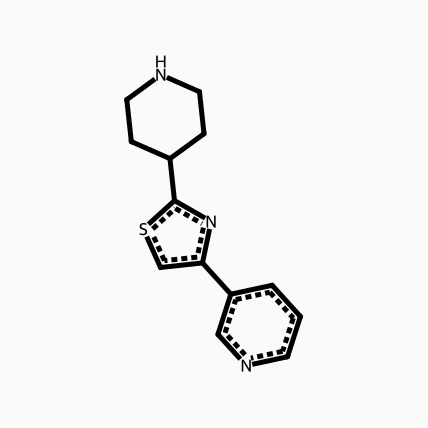 c1cncc(-c2csc(C3CCNCC3)n2)c1